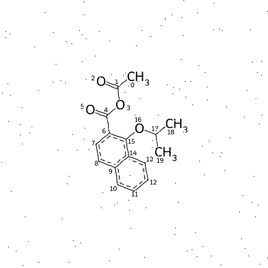 CC(=O)OC(=O)c1ccc2ccccc2c1OC(C)C